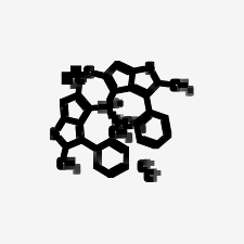 CC1=[C]([Hf+2]([C]2=C(C)C=C3SC(C)C(c4ccccc4)=C32)=[Si](C)C)C2=C(c3ccccc3)C(C)SC2=C1.[Cl-].[Cl-]